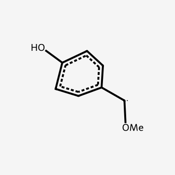 CO[CH]c1ccc(O)cc1